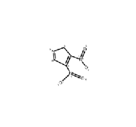 O=[N+]([O-])C1=C([N+](=O)[O-])CN=C1